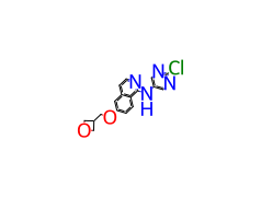 Clc1ncc(Nc2nccc3cc(OCC4COC4)ccc23)cn1